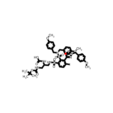 COc1ccc(CN(Cc2ccc(OC)cc2)S(=O)(=O)c2c(S(=O)(=O)NCC(CNC(=O)OC(C)(C)C)NC(=O)O)ccc(I)c2-c2nnn(Cc3ccc(OC)cc3)n2)cc1